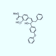 COC(=O)c1ccc(C=C(Cc2ccccc2)C(O)c2ccc(Oc3ccccc3)cc2)cc1C(=O)O